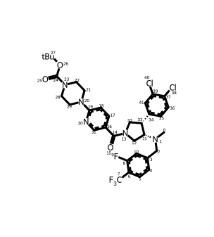 CN(Cc1ccc(C(F)(F)F)c(F)c1)[C@@H]1CN(C(=O)c2ccc(N3CCN(C(=O)OC(C)(C)C)CC3)nc2)C[C@@H]1c1ccc(Cl)c(Cl)c1